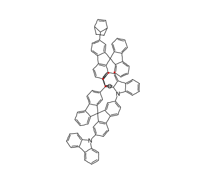 O=C(c1ccc2c(c1)C1(c3ccccc3-c3ccccc31)c1cc(C3C4C=CC3CC4)ccc1-2)c1ccc2c(c1)C1(c3ccccc3-2)c2cc(-n3c4ccccc4c4ccccc43)ccc2-c2ccc(-n3c4ccccc4c4ccccc43)cc21